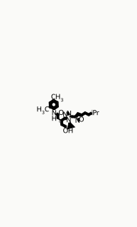 Cc1ccc(NC(=O)C[C@H](CCO)c2nnc(-c3cc(CCC(C)C)on3)n2C2CC2)c(C)c1